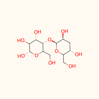 OCC1O[C@H](O)C(O)[C@H](O)[C@@H]1O[C@@H]1OC(CO)[C@@H](O)C[C@@H]1O